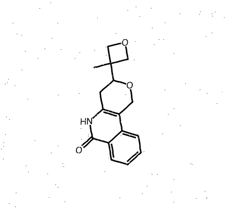 CC1(C2Cc3[nH]c(=O)c4ccccc4c3CO2)COC1